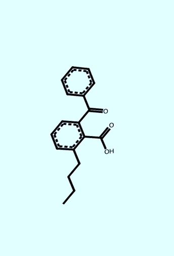 CCCCc1cccc(C(=O)c2ccccc2)c1C(=O)O